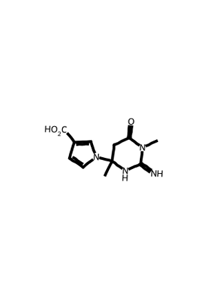 CN1C(=N)NC(C)(n2ccc(C(=O)O)c2)CC1=O